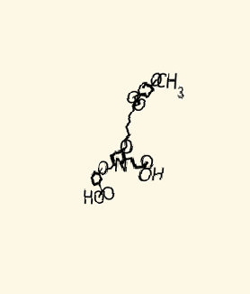 COc1ccc(S(=O)(=O)CCCCCCCOc2ccc(COc3cccc(C(=O)O)c3)nc2C=CC(=O)O)cc1